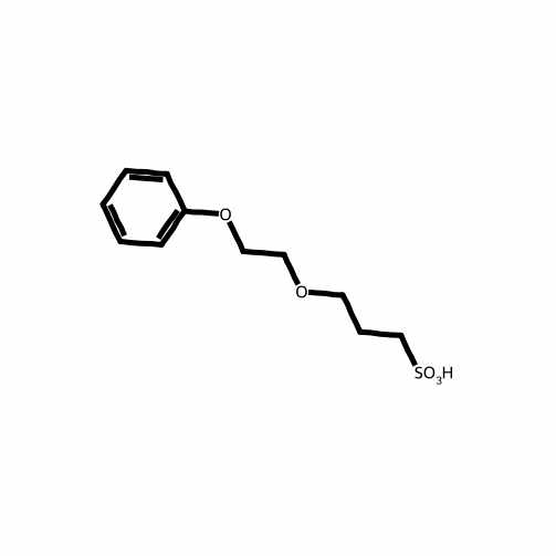 O=S(=O)(O)CCCOCCOc1ccccc1